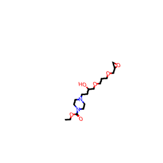 CCOC(=O)N1CCN(CCC(O)COCCCOCC2CO2)CC1